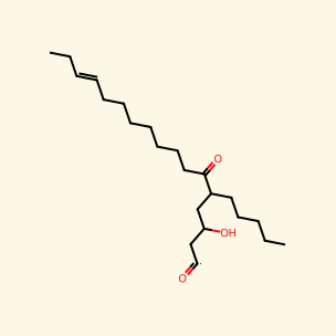 CCC=CCCCCCCCC(=O)C(CCCCC)CC(O)C[C]=O